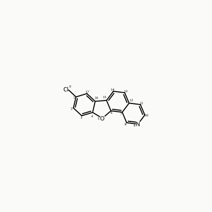 Clc1ccc2oc3c4cnccc4ccc3c2c1